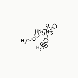 CCCOc1ccc(NC(=O)CC2C(=O)N(c3ccccc3)C(=S)N2CCc2ccc(S(N)(=O)=O)cc2)cc1